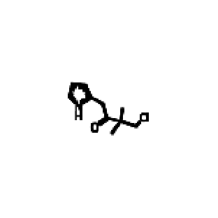 CC(C)(CCl)C(=O)Cc1ccc[nH]1